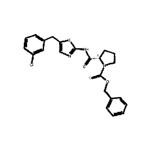 O=C(Nc1ncc(Cc2cccc(Cl)c2)s1)[C@@H]1CCCN1C(=O)OCc1ccccc1